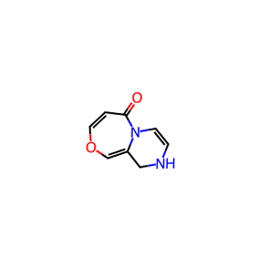 O=C1C=COC=C2CNC=CN12